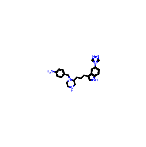 Nc1ccc(CN2CCNCC2CCCc2c[nH]c3ccc(-n4cnnc4)cc23)cc1